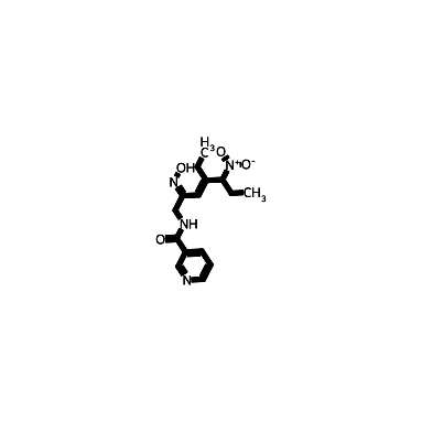 CC/C(=C\C(CNC(=O)c1cccnc1)=N/O)C(CC)[N+](=O)[O-]